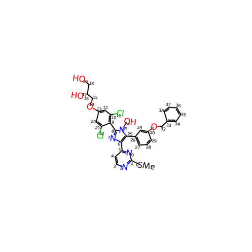 CSc1nccc(-c2nc(-c3c(Cl)cc(OC[C@H](O)CO)cc3Cl)n(O)c2-c2cccc(OCc3ccccc3)c2)n1